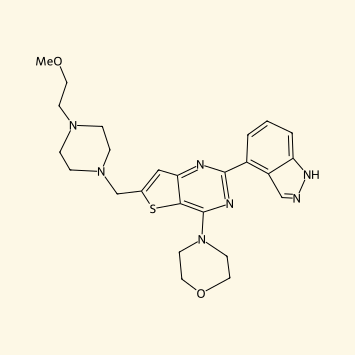 COCCN1CCN(Cc2cc3nc(-c4cccc5[nH]ncc45)nc(N4CCOCC4)c3s2)CC1